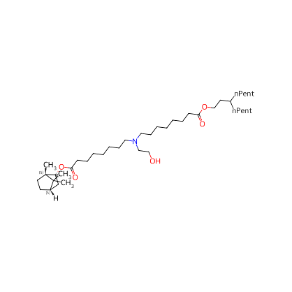 CCCCCC(CCCCC)CCOC(=O)CCCCCCCN(CCO)CCCCCCCC(=O)O[C@@H]1C[C@@H]2CC[C@@]1(C)C2(C)C